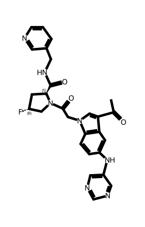 CC(=O)c1cn(CC(=O)N2C[C@H](F)C[C@H]2C(=O)NCc2cccnc2)c2ccc(Nc3cncnc3)cc12